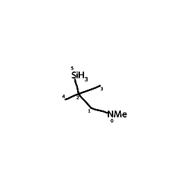 CNCC(C)(C)[SiH3]